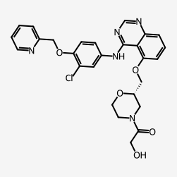 O=C(CO)N1CCO[C@H](COc2cccc3ncnc(Nc4ccc(OCc5ccccn5)c(Cl)c4)c23)C1